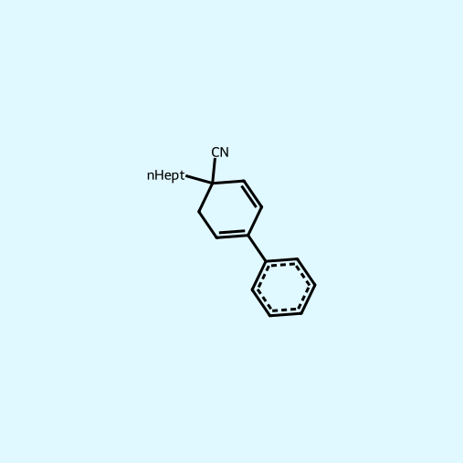 CCCCCCCC1(C#N)C=CC(c2ccccc2)=CC1